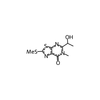 CSc1nc2c(=O)n(C)c(C(C)O)nc2s1